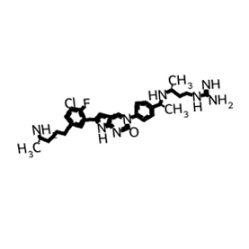 C[C@H](N)CCCc1cc(Cl)c(F)c(-c2cc3cn(-c4ccc([C@H](C)N[C@H](C)CCNC(=N)N)cc4)c(=O)nc3[nH]2)c1